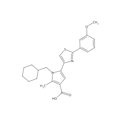 COc1cccc(-c2nc(-c3cc(C(=O)O)c(C)n3CC3CCCCC3)cs2)c1